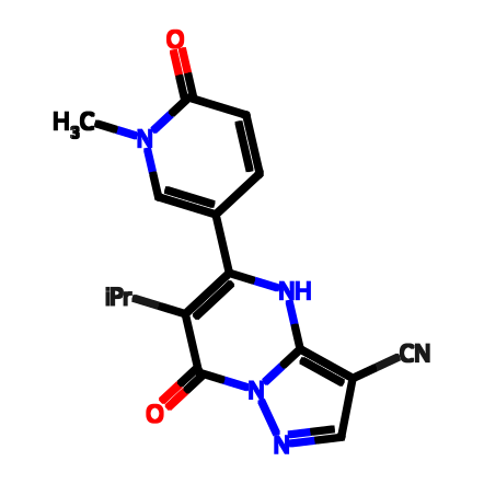 CC(C)c1c(-c2ccc(=O)n(C)c2)[nH]c2c(C#N)cnn2c1=O